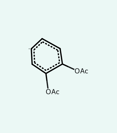 CC(=O)Oc1c[c]ccc1OC(C)=O